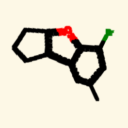 Cc1cc(Br)c2oc3c(c2c1)CCC3